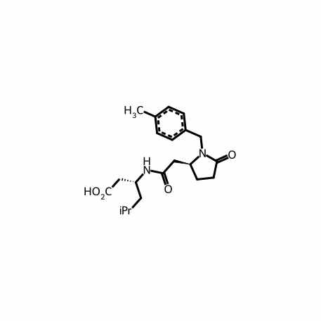 Cc1ccc(CN2C(=O)CC[C@H]2CC(=O)N[C@@H](CC(=O)O)CC(C)C)cc1